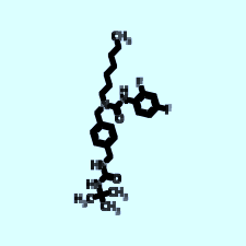 CCCCCCCN(Cc1ccc(CNC(=O)NC(C)(C)C)cc1)C(=O)Nc1ccc(F)cc1F